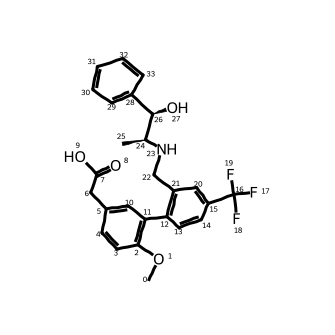 COc1ccc(CC(=O)O)cc1-c1ccc(C(F)(F)F)cc1CN[C@@H](C)[C@H](O)c1ccccc1